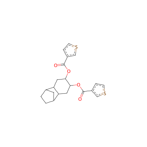 O=C(OC1CC2C3CCC(C3)C2CC1OC(=O)c1ccsc1)c1ccsc1